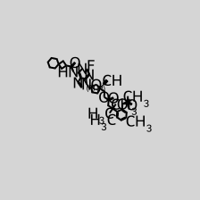 C#C[C@@]1(COC(=O)CC(C)(C)c2c(C)cc(C)cc2OC(C)=O)CC[C@H](n2cnc3c(NC(=O)C4CC5(CCCCC5)C4)nc(F)nc32)O1